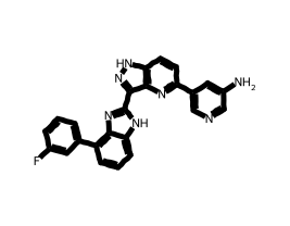 Nc1cncc(-c2ccc3[nH]nc(-c4nc5c(-c6cccc(F)c6)cccc5[nH]4)c3n2)c1